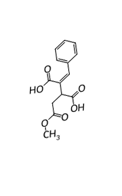 COC(=O)CC(C(=O)O)C(=Cc1ccccc1)C(=O)O